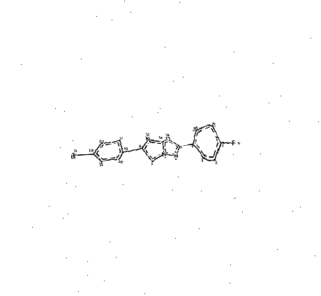 Fc1ccc(-c2nn3cc(-c4ccc(Br)cc4)nc3o2)cc1